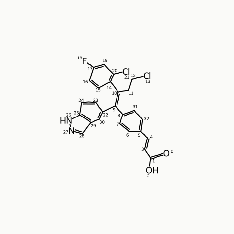 O=C(O)C=Cc1ccc(C(=C(CCCl)c2ccc(F)cc2Cl)c2ccc3[nH]ncc3c2)cc1